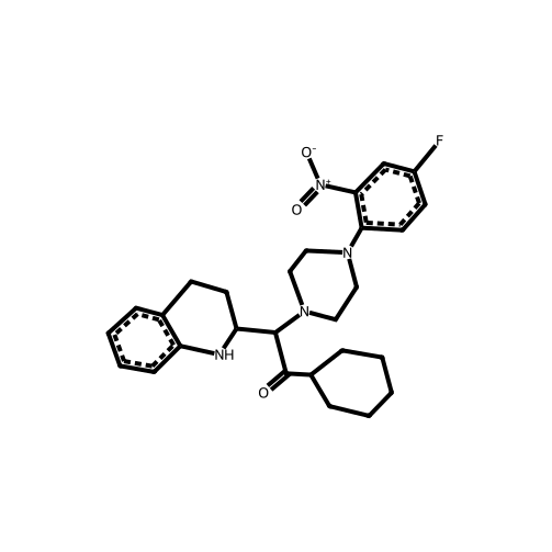 O=C(C1CCCCC1)C(C1CCc2ccccc2N1)N1CCN(c2ccc(F)cc2[N+](=O)[O-])CC1